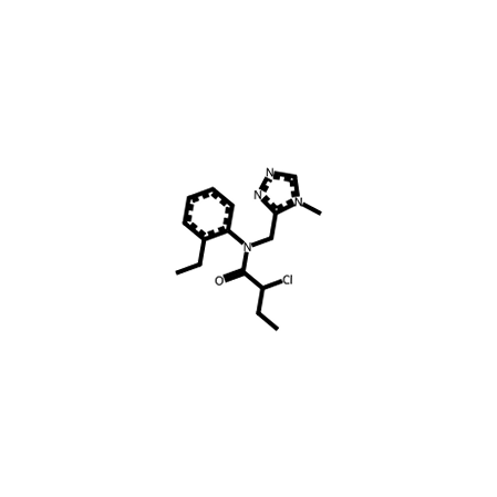 CCc1ccccc1N(Cc1nncn1C)C(=O)C(Cl)CC